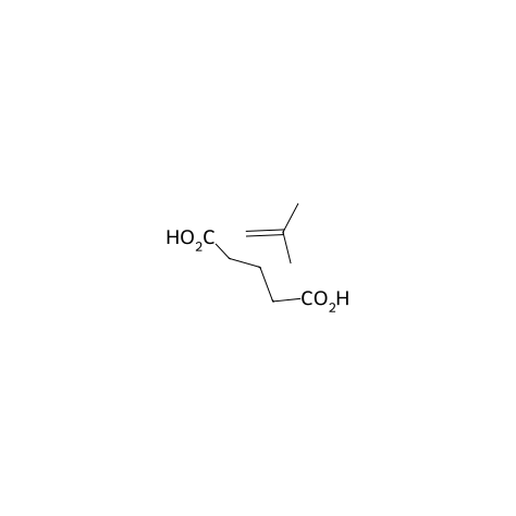 C=C(C)C.O=C(O)CCCC(=O)O